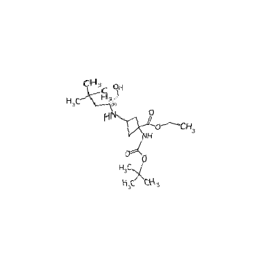 CCOC(=O)C1(NC(=O)OC(C)(C)C)CC(N[C@@H](CO)CC(C)(C)C)C1